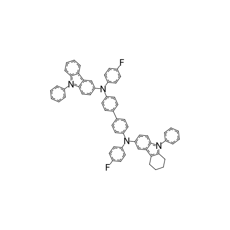 Fc1ccc(N(c2ccc(-c3ccc(N(c4ccc(F)cc4)c4ccc5c(c4)c4ccccc4n5-c4ccccc4)cc3)cc2)c2ccc3c(c2)c2c(n3-c3ccccc3)CCCC2)cc1